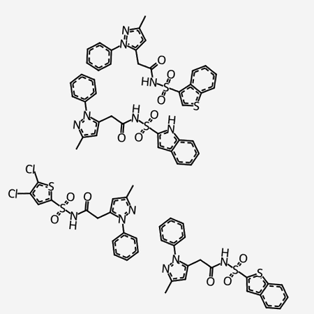 Cc1cc(CC(=O)NS(=O)(=O)c2cc(Cl)c(Cl)s2)n(-c2ccccc2)n1.Cc1cc(CC(=O)NS(=O)(=O)c2cc3ccccc3[nH]2)n(-c2ccccc2)n1.Cc1cc(CC(=O)NS(=O)(=O)c2cc3ccccc3s2)n(-c2ccccc2)n1.Cc1cc(CC(=O)NS(=O)(=O)c2csc3ccccc23)n(-c2ccccc2)n1